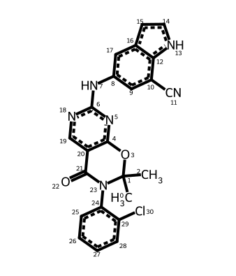 CC1(C)Oc2nc(Nc3cc(C#N)c4[nH]ccc4c3)ncc2C(=O)N1c1ccccc1Cl